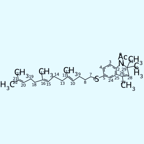 CC(=O)N1c2ccc(SCCC/C=C(\C)CC/C=C(\C)CCC=C(C)C)cc2C(C)=CC1(C)C